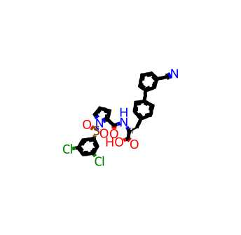 N#Cc1cccc(-c2ccc(C[C@H](NC(=O)c3cccn3S(=O)(=O)c3cc(Cl)cc(Cl)c3)C(=O)O)cc2)c1